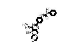 CCCNc1nc(-c2ccc(NC(=O)Nc3ccccc3)cc2)nc(CN2CCOCC2)c1OCC